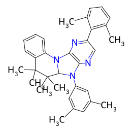 Cc1cc(C)cc(N2c3ncc(-c4c(C)cccc4C)nc3N3c4ccccc4C(C)(C)C(C)(C)C23)c1